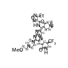 CCc1nonc1C(=O)N[C@H](c1cn2nc(C[C@H]3C[C@@H](C(F)(F)F)CNC3=O)c(N3CCN(CCOC)CC3)nc2n1)C1CCC(F)(F)CC1